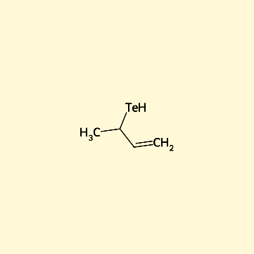 C=CC(C)[TeH]